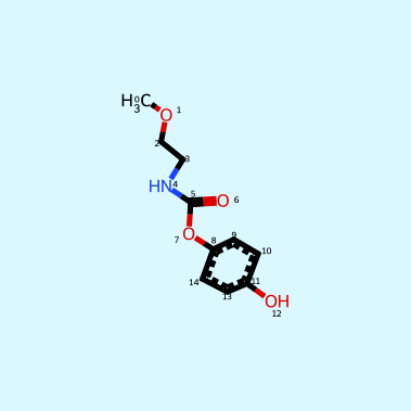 COCCNC(=O)Oc1ccc(O)cc1